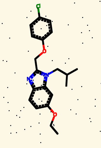 CCOc1ccc2nc(COc3ccc(Cl)cc3)n(CC(C)C)c2c1